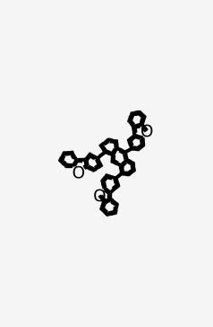 c1ccc2c(c1)oc1ccc(-c3cccc4c(-c5ccc6oc7ccccc7c6c5)c5cccc(-c6ccc7oc8ccccc8c7c6)c5cc34)cc12